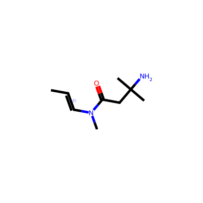 C/C=C/N(C)C(=O)CC(C)(C)N